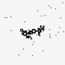 CCn1cc(C(F)(F)F)nc1-c1ccc([C@@H](C)Nc2nc(Cl)ncc2N)cc1